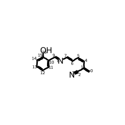 C=C(C#N)\C=C/C=C/N=C/c1ccccc1O